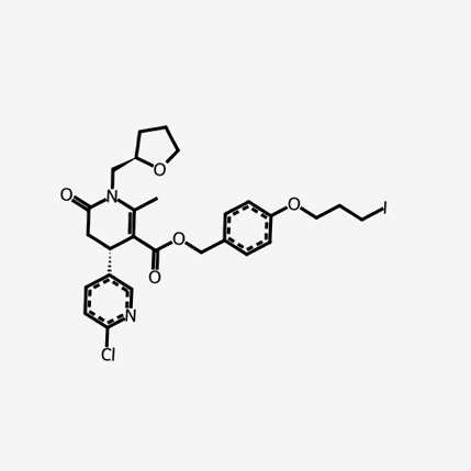 CC1=C(C(=O)OCc2ccc(OCCCI)cc2)[C@H](c2ccc(Cl)nc2)CC(=O)N1C[C@H]1CCCO1